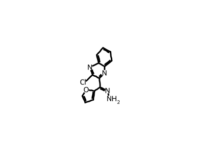 NN=C(c1ccco1)c1nc2ccccc2nc1Cl